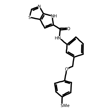 CSc1ccc(OCc2cccc(NC(=O)c3cc4scnc4[nH]3)c2)cc1